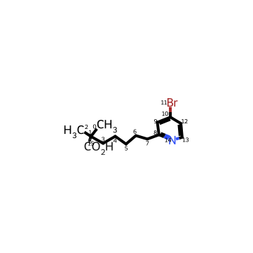 CC(C)(CCCCCc1cc(Br)ccn1)C(=O)O